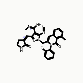 C=Nc1c(/C(N)=N\C)c(/C=C2/CCNC2=O)nn1Cc1cc2cccc(C)c2c(=O)n1-c1ccccc1F